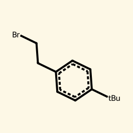 CC(C)(C)c1ccc(CCBr)cc1